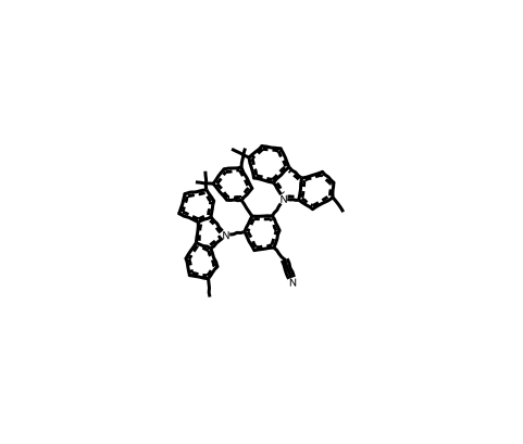 Cc1cc(C)cc(-c2c(-n3c4cc(C)ccc4c4ccc(C)cc43)cc(C#N)cc2-n2c3cc(C)ccc3c3ccc(C)cc32)c1